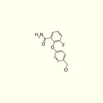 NC(=O)c1cccc(F)c1Oc1ccc(CCl)cc1